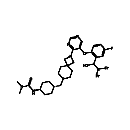 CC(C)N(C(C)C)C(O)c1cc(F)ccc1Oc1cncnc1N1CC2(CCN(C[C@H]3CC[C@H](NC(=O)N(C)C)CC3)CC2)C1